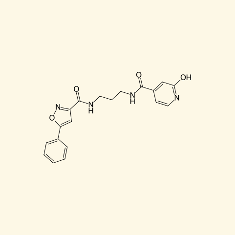 O=C(NCCCNC(=O)c1cc(-c2ccccc2)on1)c1ccnc(O)c1